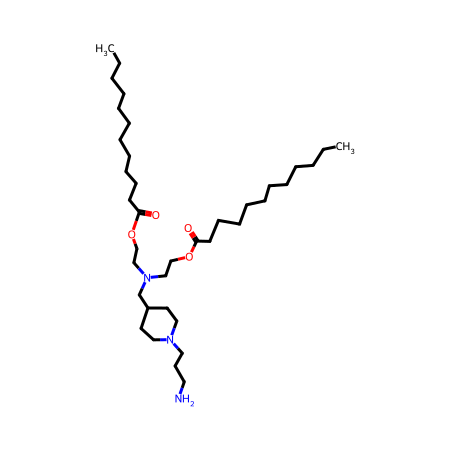 CCCCCCCCCCCC(=O)OCCN(CCOC(=O)CCCCCCCCCCC)CC1CCN(CCCN)CC1